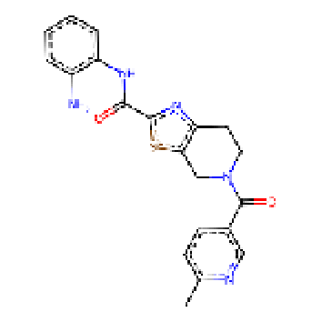 Cc1ccc(C(=O)N2CCc3nc(C(=O)Nc4ccccc4N)sc3C2)cn1